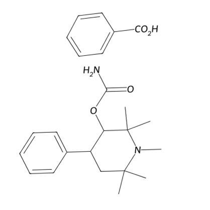 CN1C(C)(C)CC(c2ccccc2)C(OC(N)=O)C1(C)C.O=C(O)c1ccccc1